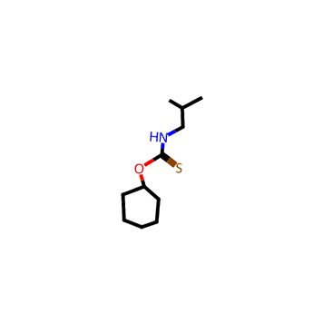 CC(C)CNC(=S)OC1CCCCC1